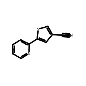 N#Cc1csc(-c2ccccn2)c1